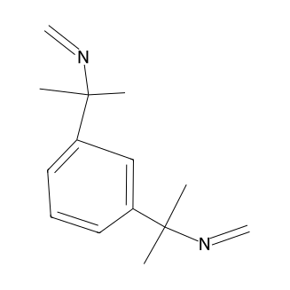 C=NC(C)(C)c1cccc(C(C)(C)N=C)c1